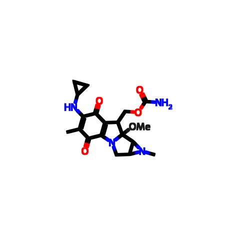 COC12C(COC(N)=O)C3=C(C(=O)C(C)=C(NC4CC4)C3=O)N1CC1C2N1C